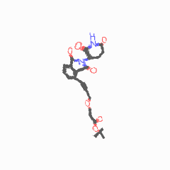 CC(C)(C)OC(=O)CCOCC#Cc1cccc2c1C(=O)N(C1CCC(=O)NC1=O)C2=O